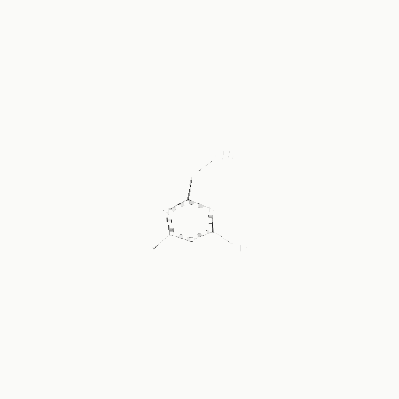 CSc1nc(C)cc(Cl)n1